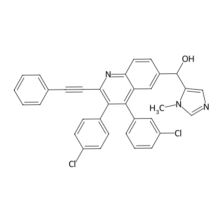 Cn1cncc1C(O)c1ccc2nc(C#Cc3ccccc3)c(-c3ccc(Cl)cc3)c(-c3cccc(Cl)c3)c2c1